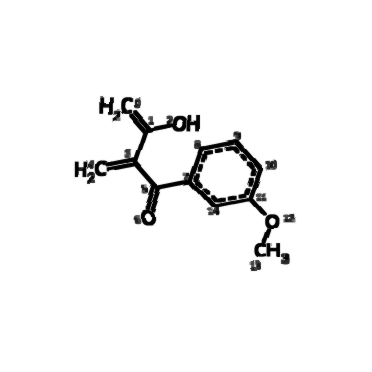 C=C(O)C(=C)C(=O)c1cccc(OC)c1